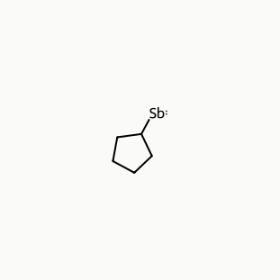 [Sb][CH]1CCCC1